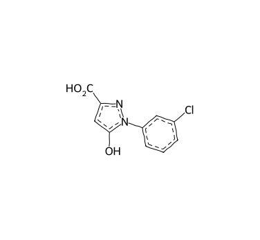 O=C(O)c1cc(O)n(-c2cccc(Cl)c2)n1